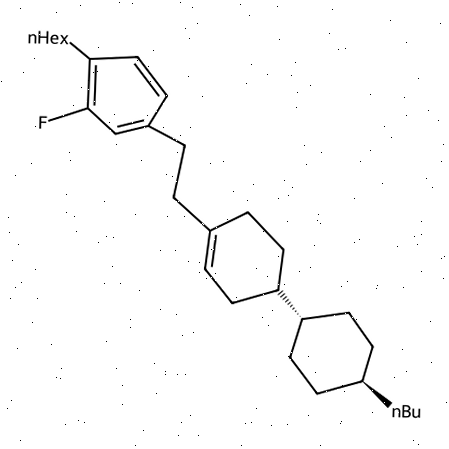 CCCCCCc1ccc(CCC2=CCC([C@H]3CC[C@H](CCCC)CC3)CC2)cc1F